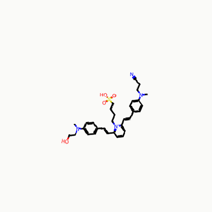 CN(CCO)c1ccc(/C=C/c2cccc(/C=C/c3ccc(N(C)CCC#N)cc3)[n+]2CCCCS(=O)(=O)O)cc1